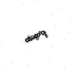 O=C1c2ccc(OC3CCCN(CCF)CC3)cc2CCN1C[C@H](O)CN1CCc2ccccc2C1